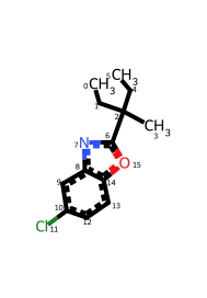 CCC(C)(CC)c1nc2cc(Cl)ccc2o1